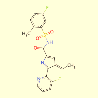 C/C=C1\C=C(C(=O)NS(=O)(=O)c2cc(F)ccc2C)N=C1c1ncccc1F